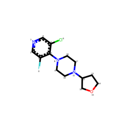 Fc1cncc(Cl)c1N1CCN(C2CCOC2)CC1